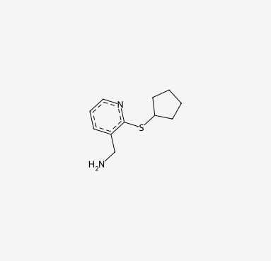 NCc1cccnc1SC1CCCC1